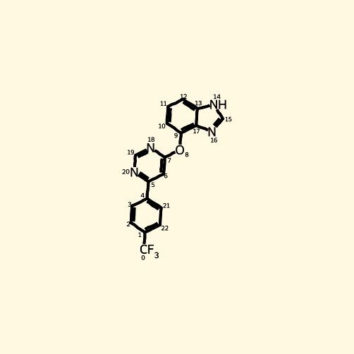 FC(F)(F)c1ccc(-c2cc(Oc3cccc4[nH]cnc34)ncn2)cc1